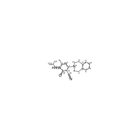 Cc1nc(N2CCc3ccccc3CC2)c(C#N)c(=O)n1NC(C)C